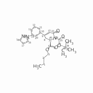 CCCCOC(=O)[C@H]1CC(c2cccc(-n3cccn3)c2)=CC(=O)N1C(=O)OC(C)(C)C